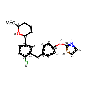 COC1CCCC(c2ccc(Cl)c(Cc3ccc(Oc4nccs4)cc3)c2)O1